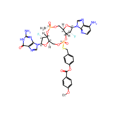 B[P@]1(=O)OC[C@H]2O[C@@H](n3cnc4c(N)ccnc43)[C@H](F)[C@@H]2O[P@@](=O)(SCc2ccc(OC(=O)c3ccc(OCC)cc3)cc2)OC[C@H]2O[C@@H](n3cnc4c(=O)[nH]c(N)nc43)[C@H](F)[C@@H]2O1